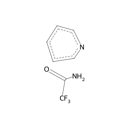 NC(=O)C(F)(F)F.c1ccncc1